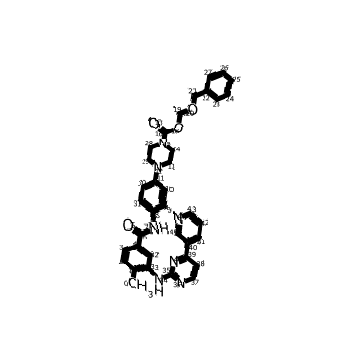 Cc1ccc(C(=O)Nc2ccc(N3CCN(C(=O)OCOCc4ccccc4)CC3)cc2)cc1Nc1nccc(-c2cccnc2)n1